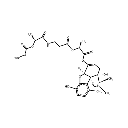 Cc1ccc(O)c2c1[C@]13CCN(C)[C@H](C)[C@]1(O)CC=C(OC(=O)[C@H](C)OC(=O)CCNC(=O)[C@H](C)OC(=O)OC(C)(C)C)[C@@H]3O2